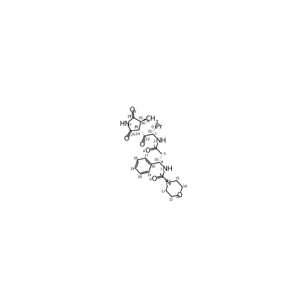 CC(C)[C@H](NC(=O)C[C@H](NC(=O)N1CCOCC1)c1ccccc1)C(=O)[C@@H]1C(=O)NC(=O)[C@H]1C